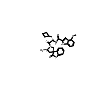 COc1cccc2[nH]c(C(=O)N[C@@H](CC3CCC3)C(=O)N3C[C@]4(C[C@H]3N)C(=O)Nc3ccccc34)cc12